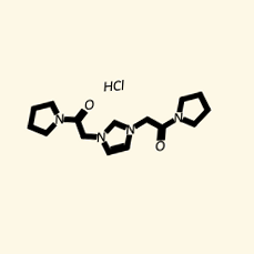 Cl.O=C(CN1C=CN(CC(=O)N2CCCC2)C1)N1CCCC1